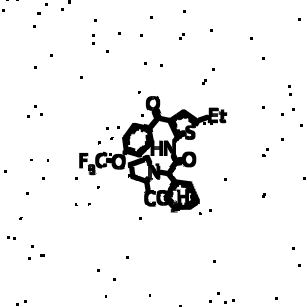 CCc1cc(C(=O)c2ccc(OC(F)(F)F)cc2)c(NC(=O)C(c2ccccc2)N2CCCC2C(=O)O)s1